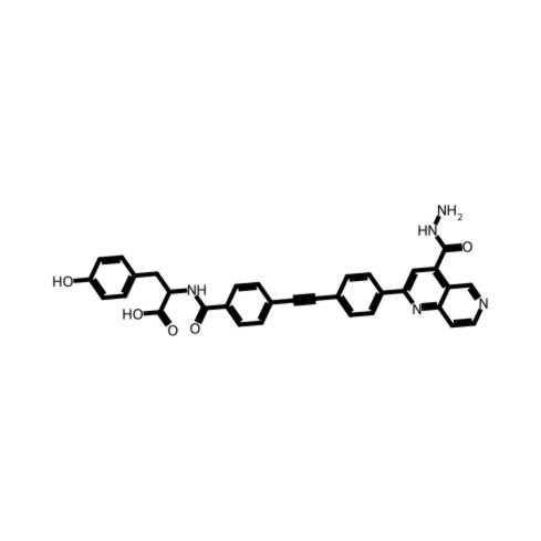 NNC(=O)c1cc(-c2ccc(C#Cc3ccc(C(=O)NC(Cc4ccc(O)cc4)C(=O)O)cc3)cc2)nc2ccncc12